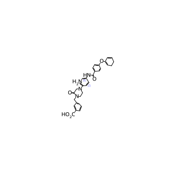 C=C(/C=C\C(=C/N)NC(=O)c1ccc(OC2=CCCC=C2)cc1)N1CCN(Cc2cccc(C(=O)O)c2)C(=O)C1